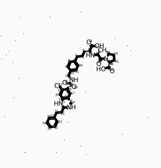 C[C@H](N[C@@H](CCCc1ccc(CNS(=O)(=O)c2cc3c(cc2Cl)NC(CCc2ccccc2)NS3)cc1)C(=O)O)C(=O)N1CCC[C@H]1C(=O)O